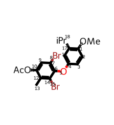 COc1ccc(Oc2c(Br)cc(OC(C)=O)c(C)c2Br)cc1C(C)C